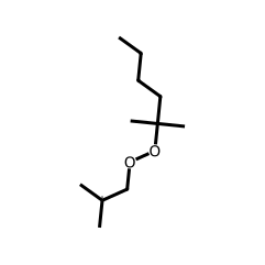 CCCCC(C)(C)OOC[C](C)C